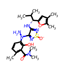 Cc1cc([C@H](Nc2n[s+]([O-])nc2N(N)c2ccc(C)c(C(=O)N(C)C)c2O)C(C)C)oc1C